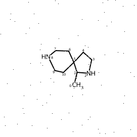 C[C]1NCCC12CCNCC2